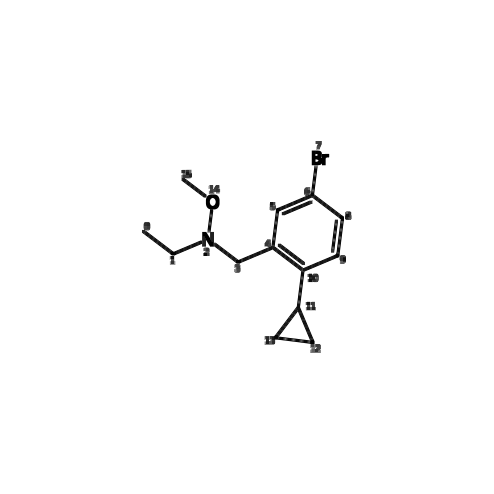 CCN(Cc1cc(Br)ccc1C1CC1)OC